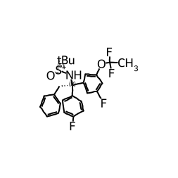 CC(F)(F)Oc1cc(F)cc([C@](Cc2ccccc2)(N[S@+]([O-])C(C)(C)C)c2ccc(F)cc2)c1